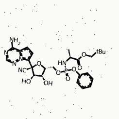 C[C@H](N[P@](=O)(OC[C@H]1O[C@@](C#N)(c2ccc3c(N)ncnn23)[C@H](O)[C@@H]1O)Oc1ccccc1)C(=O)OCC(C)(C)C